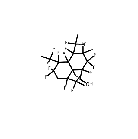 CC(F)(F)C1(F)CC(F)(F)C(F)(C(C)(F)F)C2(F)C(F)(C(C)(F)F)C(F)(F)C(F)(F)C(F)(CO)C12F